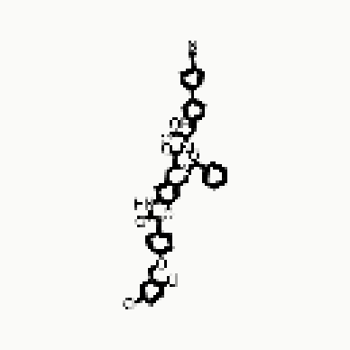 N#Cc1ccc(-c2ccc(CC(NC(=O)C3Cc4cc5c(cc4CN3C(=O)c3ccccc3)OC(c3ccc(OCc4cc(Cl)ccc4Cl)cc3)C(=O)N5)C(=O)O)cc2)cc1